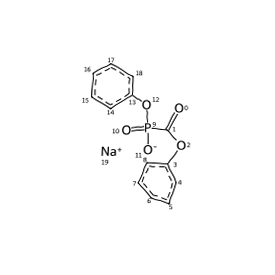 O=C(Oc1ccccc1)P(=O)([O-])Oc1ccccc1.[Na+]